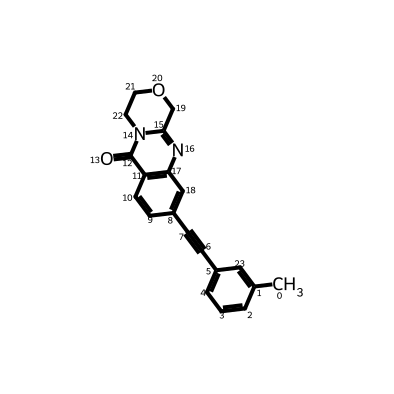 Cc1cccc(C#Cc2ccc3c(=O)n4c(nc3c2)COCC4)c1